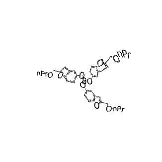 CCCOCc1cc2cc(OB(Oc3ccc4oc(COCCC)cc4c3)Oc3ccc4oc(COCCC)cc4c3)ccc2o1